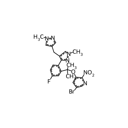 Cn1cc(Cc2cn(C)nc2-c2ccc(F)cc2C(C)(C)Oc2cc(Br)cnc2[N+](=O)[O-])cn1